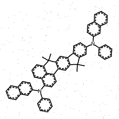 CC1(C)c2cc(N(c3ccccc3)c3ccc4ccccc4c3)ccc2-c2cc3c(cc21)-c1ccc(N(c2ccccc2)c2ccc4ccccc4c2)c2cccc(c12)C3(C)C